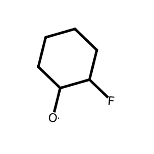 [O]C1CCCCC1F